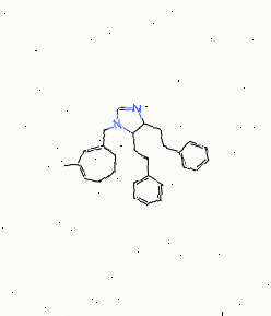 CC1=CCCCC(CN2C=NC(CCc3ccccc3)C2CCc2ccccc2)=C1